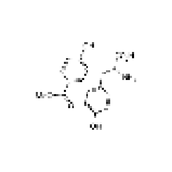 COC(=O)c1ccc(O)cc1.NC(Cc1ccc(O)cc1)C(=O)O